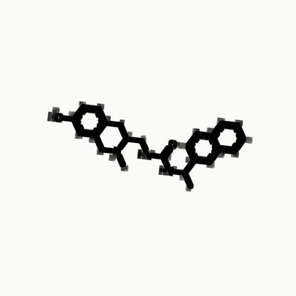 CC(NC(=O)NCC1Cc2ccc(O)cc2CN1C)c1ccc2ccccc2c1